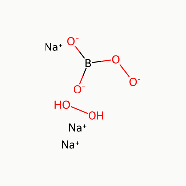 OO.[Na+].[Na+].[Na+].[O-]OB([O-])[O-]